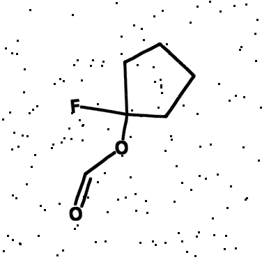 O=COC1(F)CCCC1